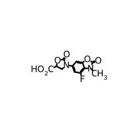 Cn1c(=O)oc2cc(N3CC(C(=O)O)OC3=O)cc(F)c21